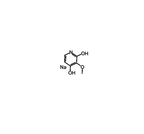 COc1c(O)ccnc1O.[Na]